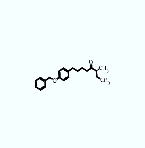 CC[C@H](C)C(=O)CCCCc1ccc(OCc2ccccc2)cc1